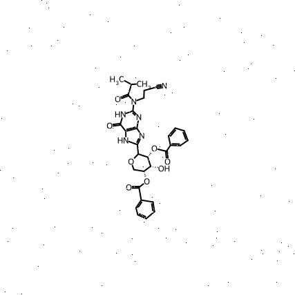 CC(C)C(=O)N(CCC#N)c1nc2nc(C3OC[C@@H](OC(=O)c4ccccc4)[C@@H](O)[C@H]3OC(=O)c3ccccc3)[nH]c2c(=O)[nH]1